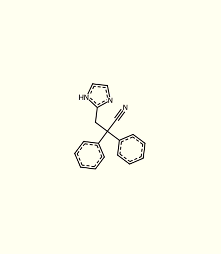 N#CC(Cc1ncc[nH]1)(c1ccccc1)c1ccccc1